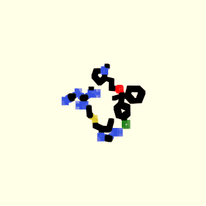 CN/C(=N/C#N)NCCSCc1nc[nH]c1C.CN1CCC[C@@H]1CCO[C@](C)(c1ccccc1)c1ccc(Cl)cc1